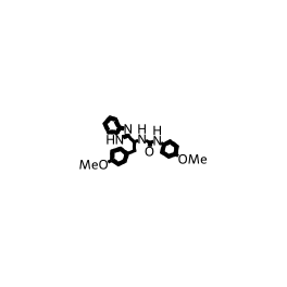 COc1ccc(CC(NC(=O)Nc2ccc(OC)cc2)c2nc3ccccc3[nH]2)cc1